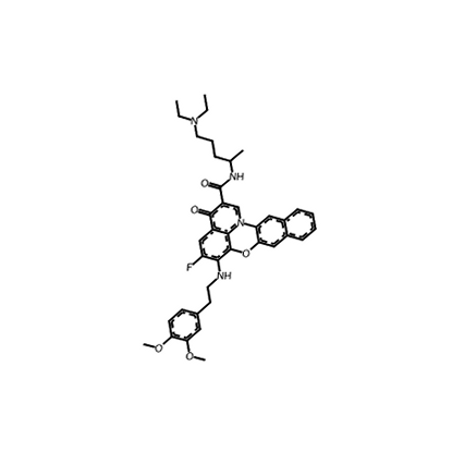 CCN(CC)CCCC(C)NC(=O)c1cn2c3c(c(NCCc4ccc(OC)c(OC)c4)c(F)cc3c1=O)Oc1cc3ccccc3cc1-2